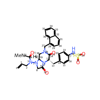 C=CCN(C(=O)NC)N1CC(=O)N2[C@@H](Cc3ccc(N[SH](=O)=O)cc3)C(=O)N(Cc3cccc4ccccc34)C[C@@H]21